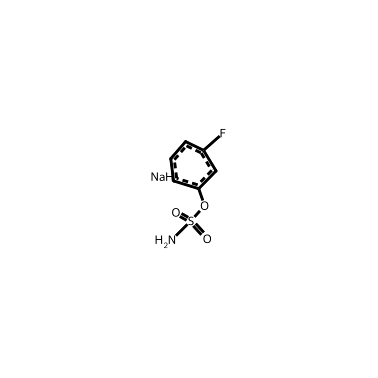 NS(=O)(=O)Oc1cccc(F)c1.[NaH]